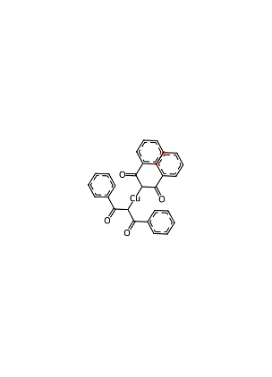 O=C(c1ccccc1)[CH]([Cu][CH](C(=O)c1ccccc1)C(=O)c1ccccc1)C(=O)c1ccccc1